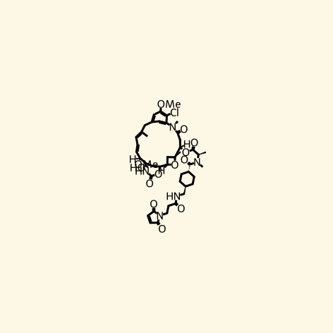 COc1cc2cc(c1Cl)N(C)C(=O)C[C@H](OC(=O)[C@@H](C)N(C)C(=O)[C@H]1CC[C@H](CNC(=O)CCN3C(=O)C=CC3=O)CC1)[C@@]1(C)CC(C)(O1)[C@@H]1C[C@@](O)(NC(=O)O1)[C@H](OC)/C=C/C=C(\C)C2